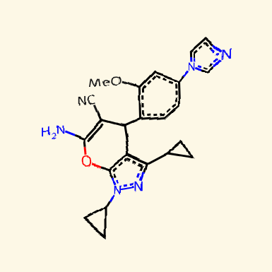 COc1cc(-n2ccnc2)ccc1C1C(C#N)=C(N)Oc2c1c(C1CC1)nn2C1CC1